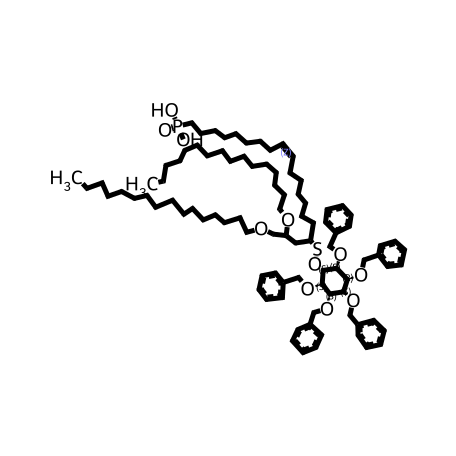 CCCCCCCCCCCCCCCCOCC(CC(CCCCCC/C=C\CCCCCCCCP(=O)(O)O)SO[C@@H]1[C@@H](OCc2ccccc2)[C@H](OCc2ccccc2)[C@@H](OCc2ccccc2)[C@H](OCc2ccccc2)[C@@H]1OCc1ccccc1)OCCCCCCCCCCCCCCCC